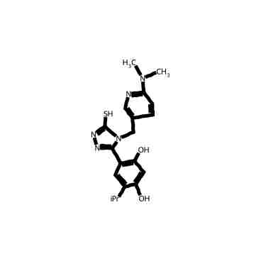 CC(C)c1cc(-c2nnc(S)n2Cc2ccc(N(C)C)nc2)c(O)cc1O